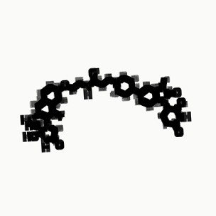 Cn1c(=O)n(C2CCC(=O)NC2=O)c2ccc(C3CCN(CCC(=O)NCCOc4ccc5cc(O)c(N6CC(=O)NS6(O)O)c(F)c5c4)CC3)cc21